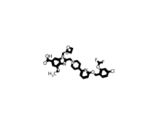 COc1cc(C(=O)O)cc2c1nc(CN1CCC(c3cccc(OCc4ccc(Cl)cc4OC(F)F)n3)CC1)n2C[C@@H]1CCO1